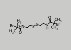 CC(C)(Br)C(=O)NCCSSCCNC(=O)C(C)(C)Br